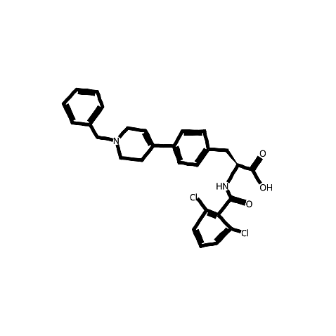 O=C(N[C@@H](Cc1ccc(C2=CCN(Cc3ccccc3)CC2)cc1)C(=O)O)c1c(Cl)cccc1Cl